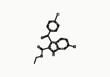 CCOC(=O)c1[nH]c2cc(Cl)ccc2c1C(=O)c1ccc(Cl)cc1